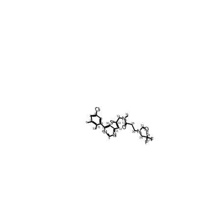 Cc1cc(Cl)cc(-c2ncnc3cc(CN(C)C(=O)CCN(C=O)CC(F)(F)F)sc23)c1C